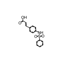 O=C(O)/C=C/c1ccc(NS(=O)(=O)c2ccccc2)cc1